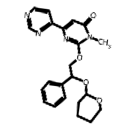 Cn1c(OCC(OC2CCCCO2)c2ccccc2)nc(-c2ccncn2)cc1=O